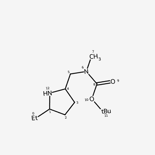 CCC1CCC(CN(C)C(=O)OC(C)(C)C)N1